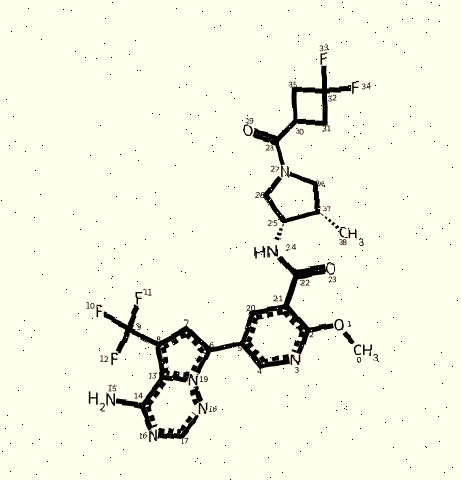 COc1ncc(-c2cc(C(F)(F)F)c3c(N)ncnn23)cc1C(=O)N[C@@H]1CN(C(=O)C2CC(F)(F)C2)C[C@@H]1C